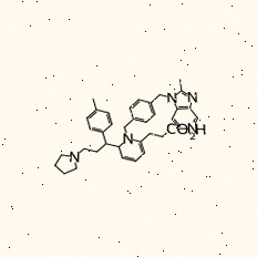 Cc1ccc(C(CCN2CCCC2)C2C=CC=C(CCC(=O)O)N2Cc2ccc(Cn3c(C)nc4cnccc43)cc2)cc1